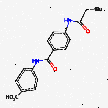 CC(C)(C)CC(=O)Nc1ccc(C(=O)Nc2ccc(C(=O)O)cc2)cc1